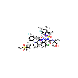 C[C@@H]1c2c(C(F)(F)F)nn(CC(=O)N[C@@H](Cc3cc(F)cc(F)c3)c3nc(CCC(C)(C)S(C)(=O)=O)ccc3-c3ccc(Cl)c4c(N(C(=O)NC(C)(C)CO)S(C)(=O)=O)nn(CC(F)(F)F)c34)c2C(F)(F)[C@@H]1C